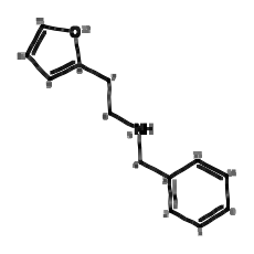 c1ccc(CNCCc2ccco2)cc1